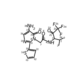 CC(C)C(NC(=O)Cn1c(-c2cccs2)ncc(N)c1=O)C(=O)C(F)(F)F